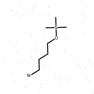 C[Si](C)(C)OCCCCBr